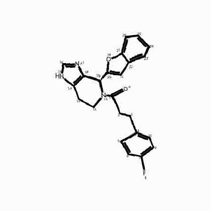 O=C(CCc1ccc(F)cc1)N1CCc2[nH]cnc2[C@H]1c1cc2ccccc2o1